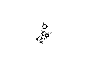 CC(C)(C)OC(=O)N(CC1CC1)c1cc(Oc2cccnc2)nc2c(Br)cnn12